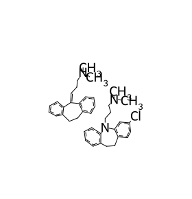 CN(C)CCC=C1c2ccccc2CCc2ccccc21.CN(C)CCCN1c2ccccc2CCc2ccc(Cl)cc21